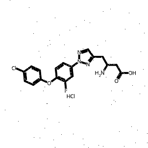 Cl.NC(CC(=O)O)Cc1cnn(-c2ccc(Oc3ccc(Cl)cc3)c(F)c2)n1